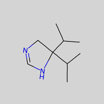 CC(C)C1(C(C)C)CN=CN1